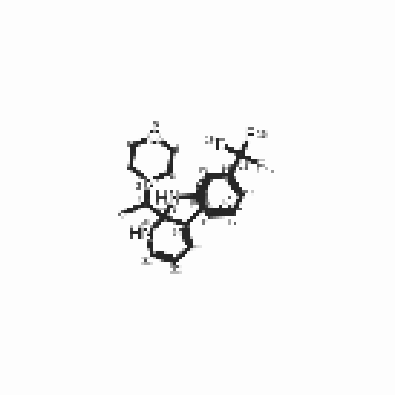 CC(N1CCOCC1)C1(Nc2cccc(C(F)(F)F)c2)NC=CC=C1C(=O)O